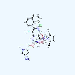 CN1C[C@H](N)C[C@H]1COc1nc(N2C[C@H]3CC[C@@H](C2)N3C(=O)OC(C)(C)C)c2cnc(-c3cccc4cccc(Cl)c34)c(F)c2n1